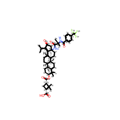 CC(C)C1=C2[C@H]3CC[C@@H]4[C@@]5(C)CC[C@H](OC(=O)[C@H]6C[C@@H](C(=O)O)C6(C)C)C(C)(C)C5CC[C@@]4(C)[C@]3(C)CC[C@@]2(NC(=O)C(C)(C)NC(=O)c2ccc(C(F)(F)F)cc2)CC1=O